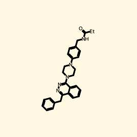 CCC(=O)NCc1ccc(N2CCN(c3nnc(Cc4ccccc4)c4ccccc34)CC2)cc1